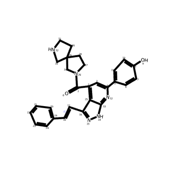 O=C(c1cc(-c2ccc(O)cc2)nc2[nH]nc(/C=C/c3ccccc3)c12)N1CCC2(CCNC2)C1